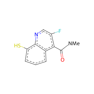 CNC(=O)c1c(F)cnc2c(S)cccc12